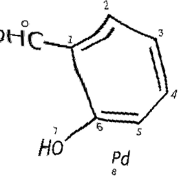 O=Cc1ccccc1O.[Pd]